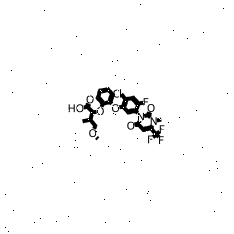 COCC(C)C(Oc1ccccc1Oc1cc(-n2c(=O)cc(C(F)(F)F)n(C)c2=O)c(F)cc1Cl)C(=O)O